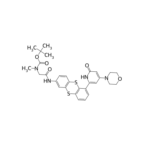 CN(CC(=O)Nc1ccc2c(c1)Sc1cccc(-c3cc(N4CCOCC4)cc(=O)[nH]3)c1S2)C(=O)OC(C)(C)C